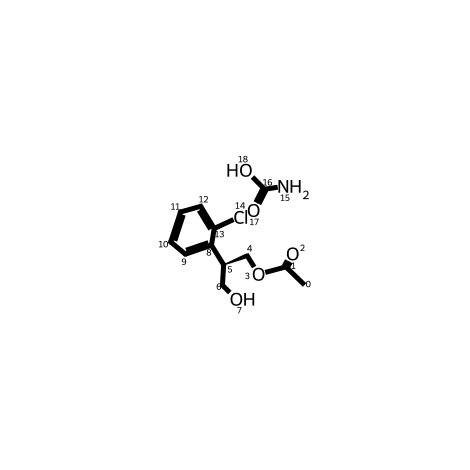 CC(=O)OC[C@@H](CO)c1ccccc1Cl.NC(=O)O